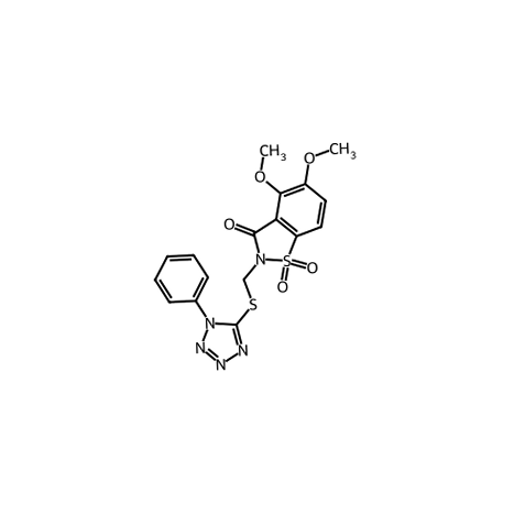 COc1ccc2c(c1OC)C(=O)N(CSc1nnnn1-c1ccccc1)S2(=O)=O